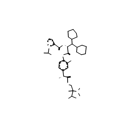 CC(C)n1nccc1C(=O)N[C@H](C(=O)Nc1ccc([C@H](C)C(=O)NCC(F)(C(F)F)N(C)C)cc1F)C(C1CCCCC1)C1CCCCC1